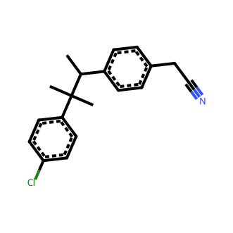 CC(c1ccc(CC#N)cc1)C(C)(C)c1ccc(Cl)cc1